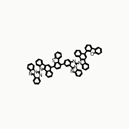 c1ccc2c(c1)nc(-n1c3ccccc3c3cc(-c4ccc(-c5ccc6nc(-n7c8ccccc8c8cc(-c9cccc%10c9oc9ccccc9%10)c9ccccc9c87)n7c8ccccc8nc7c6c5)c5c4sc4ccccc45)c4ccccc4c31)n1c3ccccc3nc21